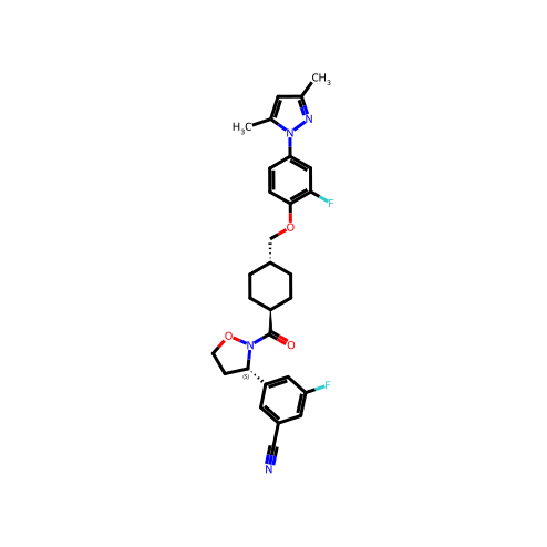 Cc1cc(C)n(-c2ccc(OC[C@H]3CC[C@H](C(=O)N4OCC[C@H]4c4cc(F)cc(C#N)c4)CC3)c(F)c2)n1